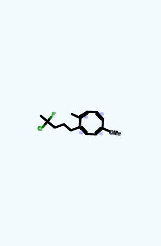 COC1=C/C=C(CCCC(C)(F)Cl)\C(C)=C/C=C\1